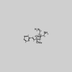 CO[Si](C=Cc1ccccc1)(OC)OC(CN)CCN